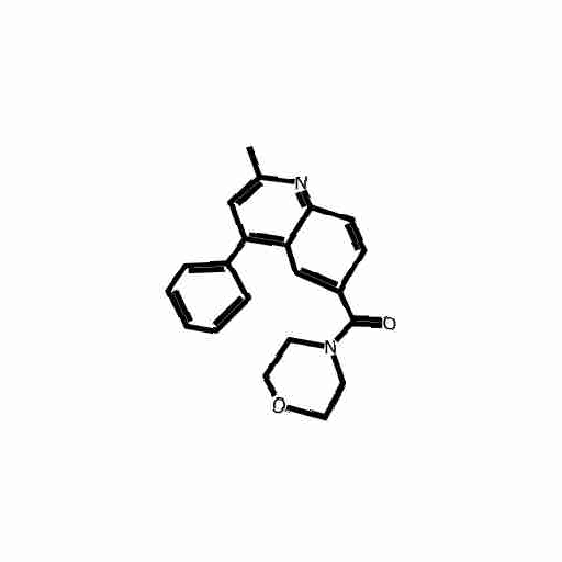 Cc1cc(-c2ccccc2)c2cc(C(=O)N3CCOCC3)ccc2n1